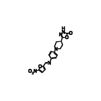 O=c1[nH]nc(C2CCN(c3ccc(N=Cc4ccc([N+](=O)[O-])o4)cc3)CC2)o1